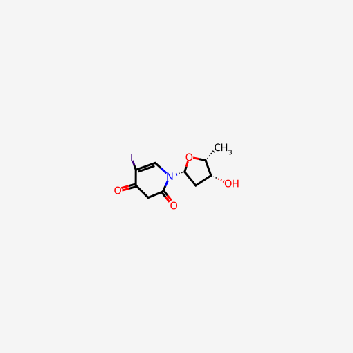 C[C@H]1O[C@@H](N2C=C(I)C(=O)CC2=O)C[C@H]1O